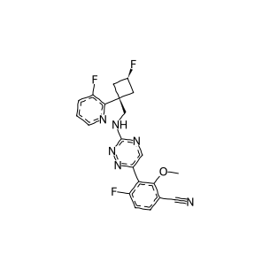 COc1c(C#N)ccc(F)c1-c1cnc(NC[C@]2(c3ncccc3F)C[C@H](F)C2)nn1